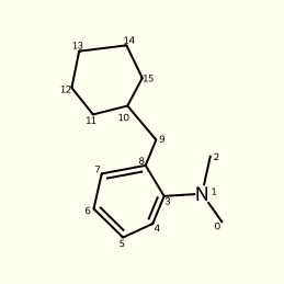 CN(C)c1ccccc1CC1CCCCC1